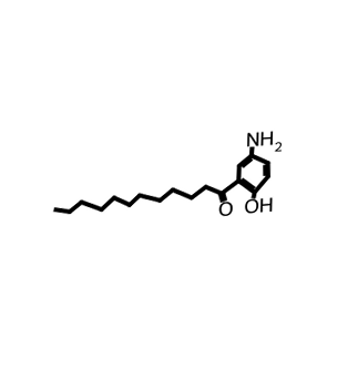 CCCCCCCCCCCC(=O)c1cc(N)ccc1O